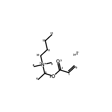 C=CC(=O)OC(C)[N+](C)(C)CCCC.[I-]